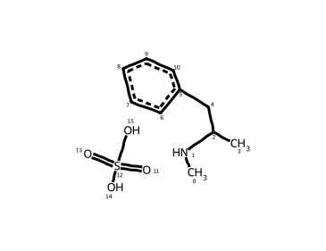 CNC(C)Cc1ccccc1.O=S(=O)(O)O